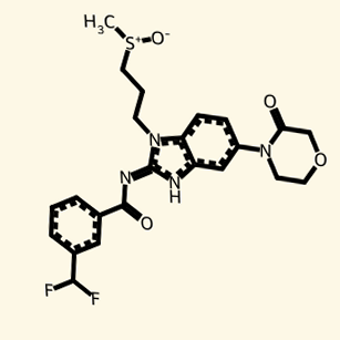 C[S+]([O-])CCCn1/c(=N/C(=O)c2cccc(C(F)F)c2)[nH]c2cc(N3CCOCC3=O)ccc21